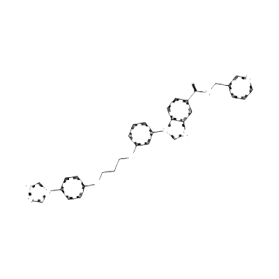 O=C(NCc1cccnc1)c1ccc2c(c1)ncn2-c1cccc(OCCCOc2ccc(-n3cnnc3)cc2)c1